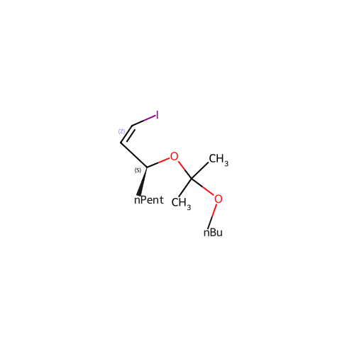 CCCCC[C@@H](/C=C\I)OC(C)(C)OCCCC